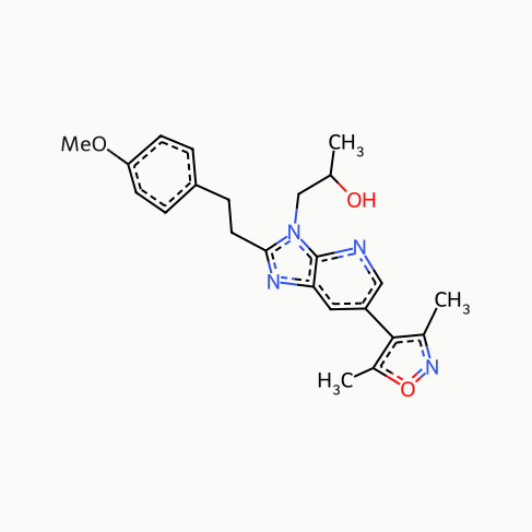 COc1ccc(CCc2nc3cc(-c4c(C)noc4C)cnc3n2CC(C)O)cc1